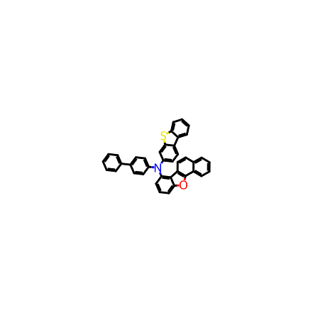 c1ccc(-c2ccc(N(c3ccc4c(c3)sc3ccccc34)c3cccc4oc5c6ccccc6ccc5c34)cc2)cc1